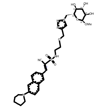 CO[C@H]1O[C@H](Cn2cc(COCCNS(=O)(=O)/C(C#N)=C/c3ccc4cc(N5CCCCC5)ccc4c3)nn2)[C@@H](O)[C@H](O)[C@H]1O